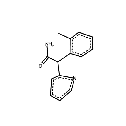 NC(=O)C(c1ccccn1)c1ccccc1F